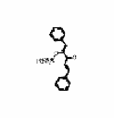 O=C(O)OC(=Cc1ccccc1)C(=O)C=Cc1ccccc1.[KH].[Pd].[Pd]